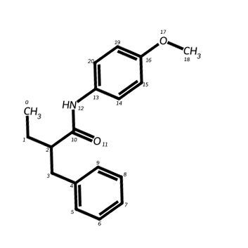 CCC(Cc1ccccc1)C(=O)Nc1ccc(OC)cc1